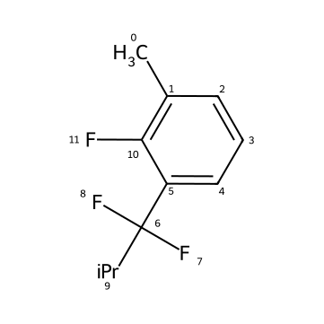 Cc1cccc(C(F)(F)C(C)C)c1F